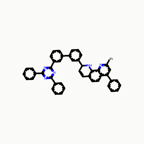 CC(C)c1cc(-c2ccccc2)c2ccc3c(c2n1)NC(c1cccc(-c2cccc(-c4nc(-c5ccccc5)nc(-c5ccccc5)n4)c2)c1)C=C3